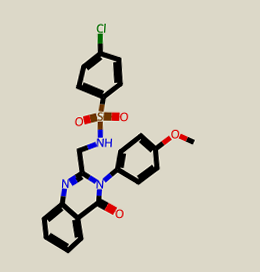 COc1ccc(-n2c(CNS(=O)(=O)c3ccc(Cl)cc3)nc3ccccc3c2=O)cc1